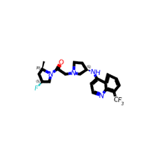 C[C@@H]1C[C@H](F)CN1C(=O)CN1CC[C@H](Nc2ccnc3c(C(F)(F)F)cccc23)C1